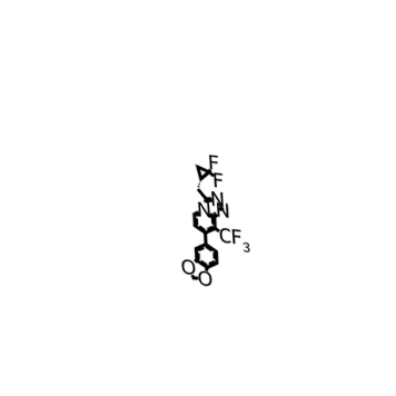 FC(F)(F)c1c(-c2ccc3c(c2)OCO3)ccn2c(C[C@@H]3CC3(F)F)nnc12